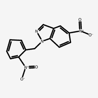 O=[N+]([O-])c1ccc2c(cnn2Cc2ccccc2[N+](=O)[O-])c1